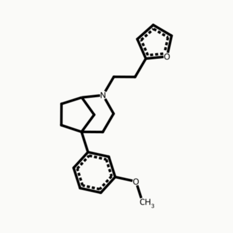 COc1cccc(C23CCC(C2)N(CCc2ccco2)CC3)c1